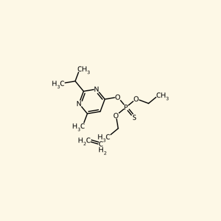 C=C.CCOP(=S)(OCC)Oc1cc(C)nc(C(C)C)n1